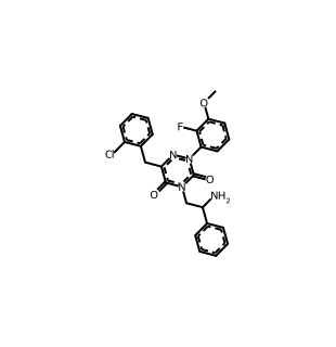 COc1cccc(-n2nc(Cc3ccccc3Cl)c(=O)n(CC(N)c3ccccc3)c2=O)c1F